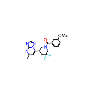 COc1cccc(C(=O)N2CC(c3cc(C)nc4ncnn34)CC(F)(F)C2)c1